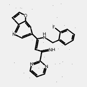 N=C(/C=C(\NCc1ccccc1F)c1cnc2ccoc2c1)c1ncccn1